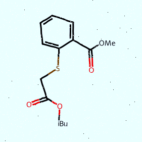 CCC(C)OC(=O)CSc1ccccc1C(=O)OC